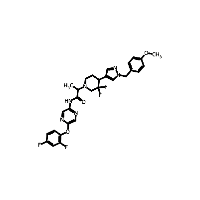 COc1ccc(Cn2cc(C3CCN(C(C)C(=O)Nc4cnc(Oc5ccc(F)cc5F)cn4)CC3(F)F)cn2)cc1